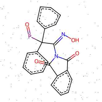 O=PC(C(=NO)N1C(=O)c2ccccc2C1=O)(c1ccccc1)c1ccccc1